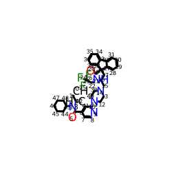 C=CCN(C(=O)c1ccnc(N2CCN(CCCC3(C(=O)NCC(F)(F)F)c4ccccc4-c4ccccc43)CC2)c1C)C1CCCCC1